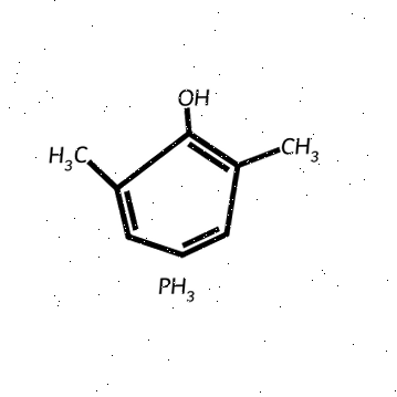 Cc1cccc(C)c1O.P